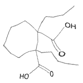 CCCC1(C(=O)O)CCCCC1(CCC)C(=O)O